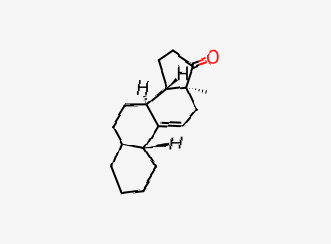 C[C@]12CC=C3[C@@H](CCC4CCCC[C@@H]34)[C@@H]1CCC2=O